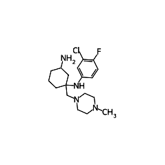 CN1CCN(CC2(Nc3ccc(F)c(Cl)c3)CCCC(N)C2)CC1